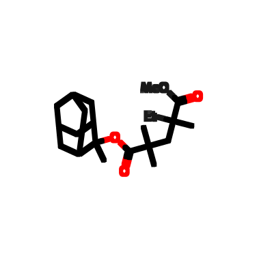 CCC(C)(CC(C)(C)C(=O)OC1(C)C2CC3CC(C2)CC1C3)C(=O)OC